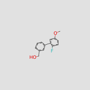 COc1ccc(F)c(-c2cccc(CO)c2)c1